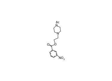 CC(=O)N1CCN(CCOC(=O)c2cccc([N+](=O)[O-])c2)CC1